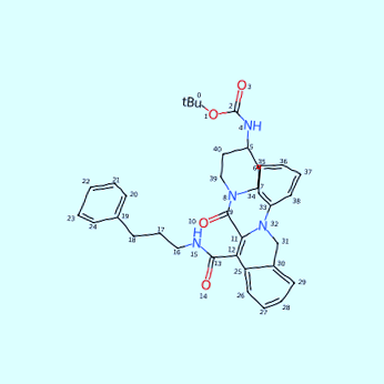 CC(C)(C)OC(=O)NC1CCN(C(=O)C2=C(C(=O)NCCCc3ccccc3)c3ccccc3CN2c2ccccc2)CC1